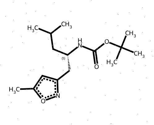 Cc1cc(C[C@H](CC(C)C)NC(=O)OC(C)(C)C)no1